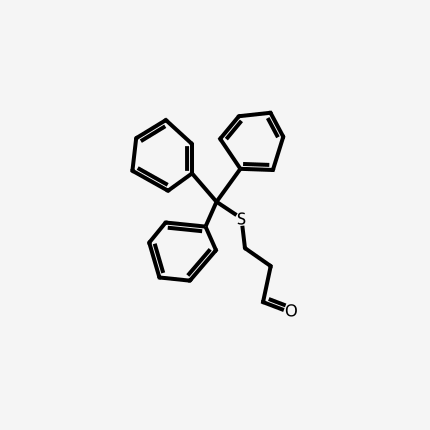 O=CCCSC(c1ccccc1)(c1ccccc1)c1ccccc1